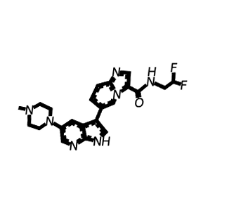 CN1CCN(c2cnc3[nH]cc(-c4ccc5ncc(C(=O)NCC(F)F)n5c4)c3c2)CC1